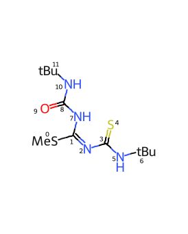 CSC(=NC(=S)NC(C)(C)C)NC(=O)NC(C)(C)C